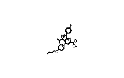 CCCCOC1CCN(c2cc(C(=O)OC)nc3c2c(C(C)C)nn3-c2ccc(F)cc2)CC1